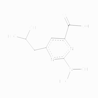 CC(C)Cc1cc(C(=O)O)nc(N(C)C)n1